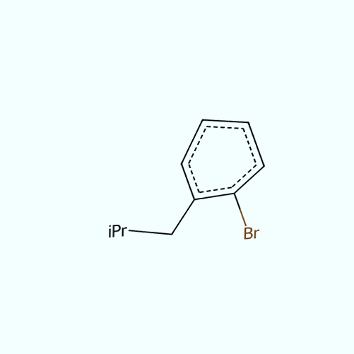 CC(C)Cc1ccccc1Br